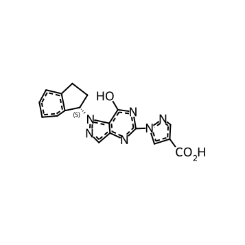 O=C(O)c1cnn(-c2nc(O)c3c(cnn3[C@H]3CCc4ccccc43)n2)c1